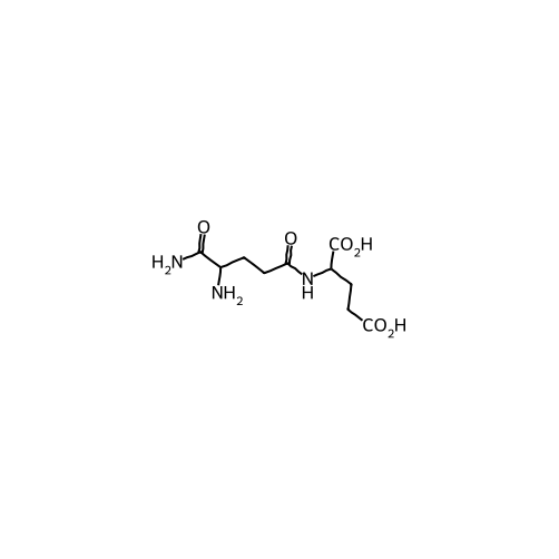 NC(=O)C(N)CCC(=O)NC(CCC(=O)O)C(=O)O